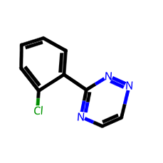 Clc1ccccc1-c1nccnn1